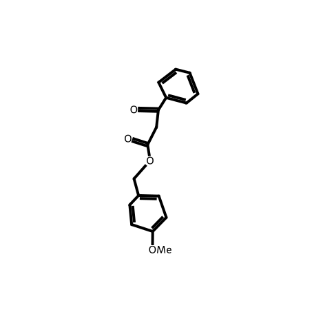 COc1ccc(COC(=O)CC(=O)c2ccccc2)cc1